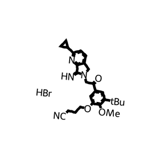 Br.COc1c(OCCCC#N)cc(C(=O)CN2Cc3ccc(C4CC4)nc3C2=N)cc1C(C)(C)C